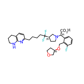 O=C(O)[C@@H](c1cccc(F)c1CO[C@@H]1CCOC1)N1CC[C@@H](C(F)(F)CCCCc2ccc3c(n2)NCCC3)C1